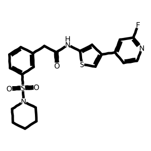 O=C(Cc1cccc(S(=O)(=O)N2CCCCC2)c1)Nc1cc(-c2ccnc(F)c2)cs1